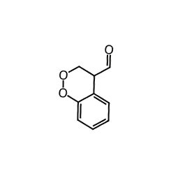 O=CC1COOc2ccccc21